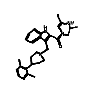 Cc1cccc(C)c1C1CCN(Cc2c(C(=O)N3CC(C)NC(C)C3)[nH]c3ccccc23)CC1